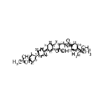 CC(C)Oc1ccc(-c2cnc(-c3ccc(C[C@H](CNC(=O)c4ccc(C(C)(C)C)cc4)C(=O)O)cc3)nc2)cc1